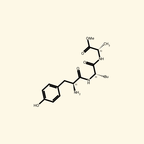 CCC(C)[C@H](NC(=O)[C@@H](N)Cc1ccc(O)cc1)C(=O)N[C@@H](C)C(=O)OC